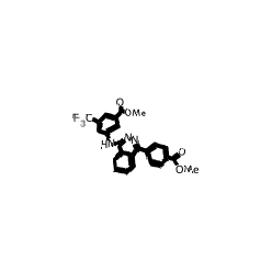 COC(=O)c1ccc(-c2nnc(Nc3cc(C(=O)OC)cc(C(F)(F)F)c3)c3ccccc23)cc1